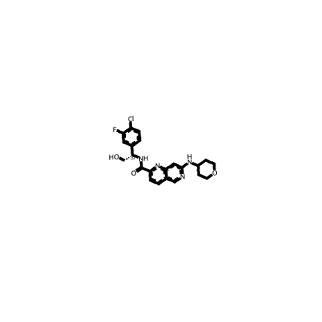 O=C(N[C@H](CO)c1ccc(Cl)c(F)c1)c1ccc2cnc(NC3CCOCC3)cc2n1